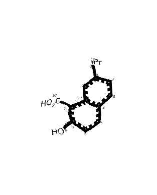 CC(C)c1ccc2ccc(O)c(C(=O)O)c2c1